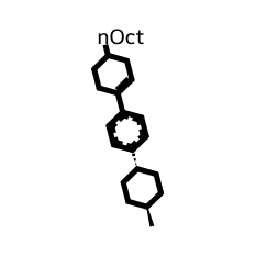 CCCCCCCCC1CC=C(c2ccc([C@H]3CC[C@H](C)CC3)cc2)CC1